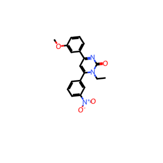 CCn1c(-c2cccc([N+](=O)[O-])c2)cc(-c2cccc(OC)c2)nc1=O